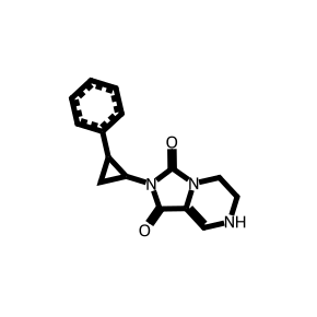 O=C1C2=CNCCN2C(=O)N1C1CC1c1ccccc1